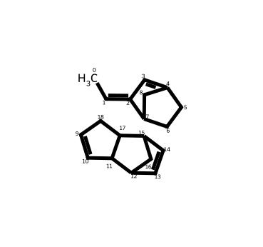 C/C=C1\C=C2CCC1C2.C1=CC2C3C=CC(C3)C2C1